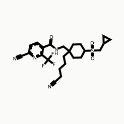 N#CCCCCC1(CNC(=O)c2ccc(C#N)nc2C(F)(F)F)CCC(S(=O)(=O)CC2CC2)CC1